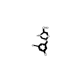 O=CC1CO[C@H](Cc2cc(Cl)cc(Cl)c2)CN1